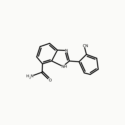 N#Cc1ccccc1-c1nc2cccc(C(N)=O)c2[nH]1